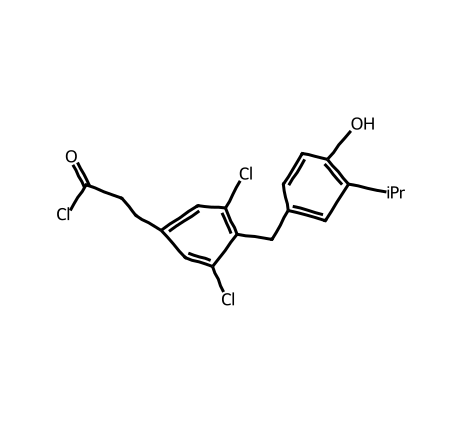 CC(C)c1cc(Cc2c(Cl)cc(CCC(=O)Cl)cc2Cl)ccc1O